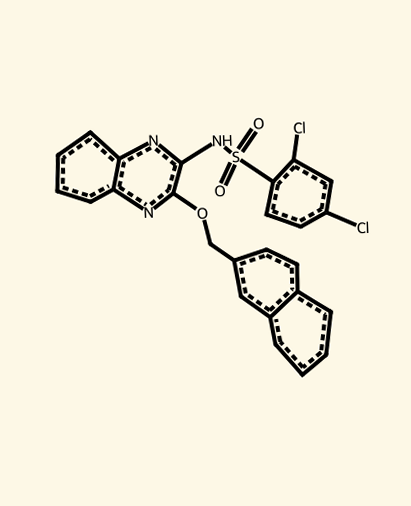 O=S(=O)(Nc1nc2ccccc2nc1OCc1ccc2ccccc2c1)c1ccc(Cl)cc1Cl